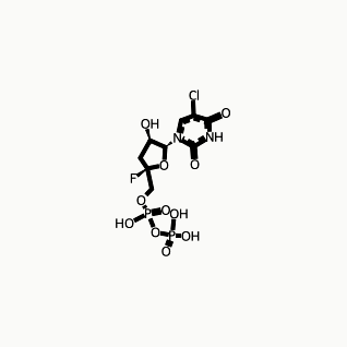 O=c1[nH]c(=O)n([C@@H]2O[C@](F)(COP(=O)(O)OP(=O)(O)O)C[C@H]2O)cc1Cl